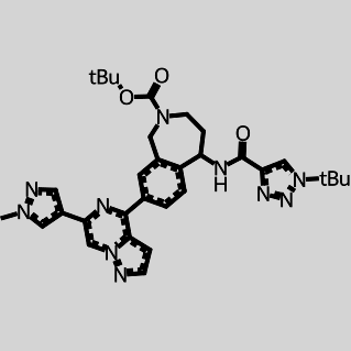 Cn1cc(-c2cn3nccc3c(-c3ccc4c(c3)CN(C(=O)OC(C)(C)C)CCC4NC(=O)c3cn(C(C)(C)C)nn3)n2)cn1